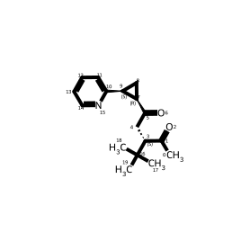 CC(=O)[C@@H](CC(=O)[C@@H]1C[C@@H]1c1ccccn1)C(C)(C)C